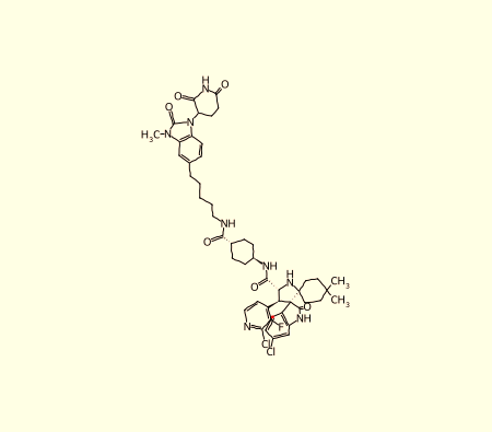 Cn1c(=O)n(C2CCC(=O)NC2=O)c2ccc(CCCCCNC(=O)[C@H]3CC[C@H](NC(=O)[C@@H]4NC5(CCC(C)(C)CC5)[C@@]5(C(=O)Nc6cc(Cl)ccc65)[C@H]4c4ccnc(Cl)c4F)CC3)cc21